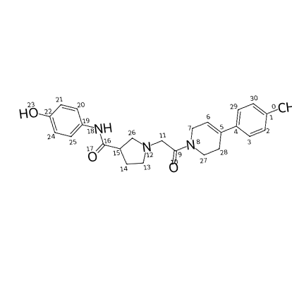 Cc1ccc(C2=CCN(C(=O)CN3CCC(C(=O)Nc4ccc(O)cc4)C3)CC2)cc1